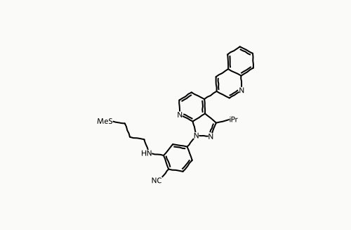 CSCCCNc1cc(-n2nc(C(C)C)c3c(-c4cnc5ccccc5c4)ccnc32)ccc1C#N